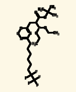 CCOP(OCC)C(CC1=NC(CCCCCCC(F)(F)C(F)(F)F)=NOO1)C(=O)OC(C)(C)C